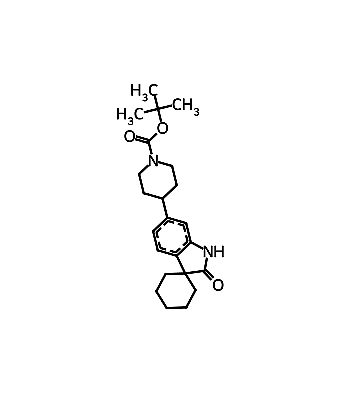 CC(C)(C)OC(=O)N1CCC(c2ccc3c(c2)NC(=O)C32CCCCC2)CC1